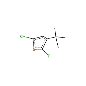 CC(C)(C)c1cc(Cl)sc1F